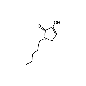 CCCCCN1CC=C(O)C1=O